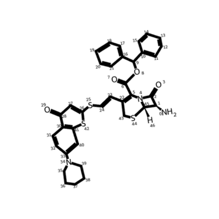 N[C@@H]1C(=O)N2C(C(=O)OC(c3ccccc3)c3ccccc3)=C(C=CSc3cc(=O)c4ccc(N5CCCCC5)cc4s3)CS[C@@H]12